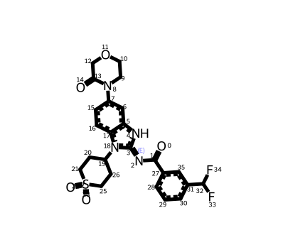 O=C(/N=c1\[nH]c2cc(N3CCOCC3=O)ccc2n1C1CCS(=O)(=O)CC1)c1cccc(C(F)F)c1